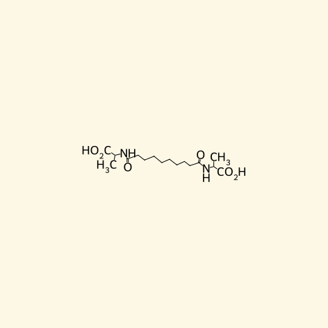 CC(NC(=O)CCCCCCCCC(=O)NC(C)C(=O)O)C(=O)O